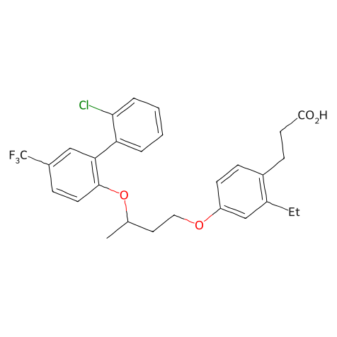 CCc1cc(OCCC(C)Oc2ccc(C(F)(F)F)cc2-c2ccccc2Cl)ccc1CCC(=O)O